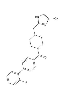 N#Cc1c[nH]c(CC2CCN(C(=O)c3ccc(-c4ccccc4F)cc3)CC2)n1